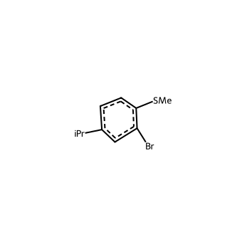 [CH2]C(C)c1ccc(SC)c(Br)c1